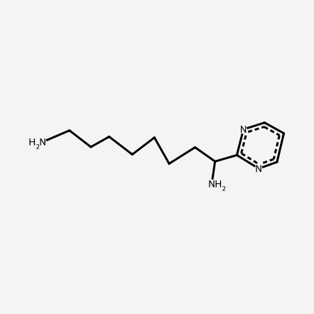 NCCCCCCCC(N)c1ncccn1